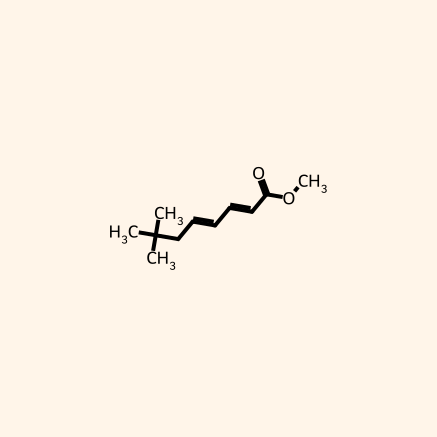 COC(=O)C=CC=CCC(C)(C)C